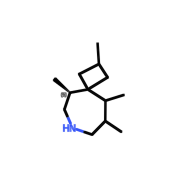 CC1CC2(C1)C(C)C(C)CNC[C@H]2C